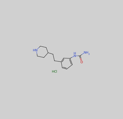 Cl.NC(=O)Nc1cccc(CCC2CCNCC2)c1